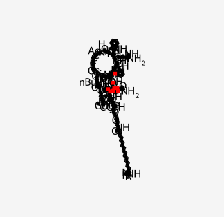 CCCC[C@H](NC(=O)[C@H](CCCCN(CC(=O)O)CC(=O)O)NC(=O)[C@H](CC1=CCC=N1)NC(=O)[C@H](CCC(N)=O)NC(=O)[C@H](CO)NC(=O)CNC(=O)COCCOCCNC(=O)CCCCCCCCCCCCCCCc1nnn[nH]1)C(=O)N[C@H]1CCC(=O)CCCCC[C@@H](C(C)=O)NC(=O)[C@H](Cc2c[nH]c3ccccc23)NC(=O)[C@H](CCCNC(=N)N)NC(=O)[C@@H](Cc2ccccc2)NC(=O)[C@@H]2C[C@@H](O)CN2C1=O